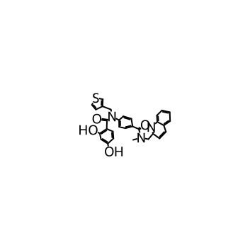 CN(Cc1ccc2ccccc2n1)C(=O)c1ccc(N(Cc2ccsc2)C(=O)c2ccc(O)cc2O)cc1